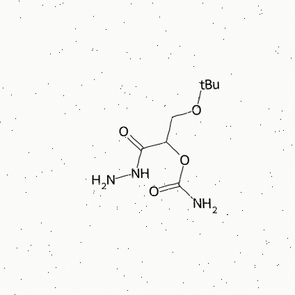 CC(C)(C)OCC(OC(N)=O)C(=O)NN